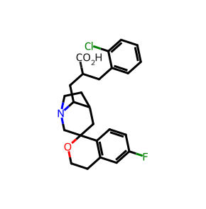 O=C(O)C(Cc1ccccc1Cl)CC1C2CCN1CC1(C2)OCCc2cc(F)ccc21